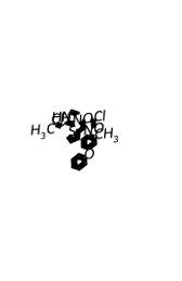 Cc1cc(Oc2ccccc2)ccc1N(C(=O)CCl)[C@@H](C(=O)N1CCN[C@@H](CC(C)C)C1)c1cccs1